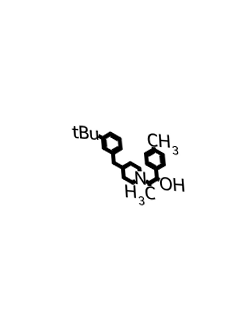 Cc1ccc(C(O)C(C)N2CCC(Cc3cccc(C(C)(C)C)c3)CC2)cc1